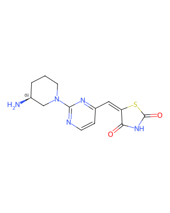 N[C@H]1CCCN(c2nccc(C=C3SC(=O)NC3=O)n2)C1